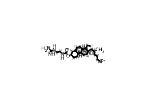 CC(C)CCC[C@@H](C)[C@H]1CC[C@H]2[C@@H]3CC=C4C[C@@H](OC(=O)NCCNC(=N)N)CC[C@]4(C)[C@H]3CC[C@]12C